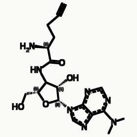 C#CCC[C@H](N)C(=O)NC1[C@@H](CO)O[C@@H](n2cnc3c(N(C)C)ncnc32)[C@H]1O